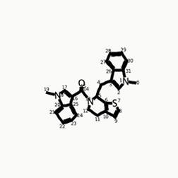 Cn1cc(CC2c3sccc3CCN2C(=O)c2cn(C)c3ccccc23)c2ccccc21